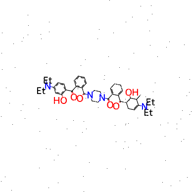 CCN(CC)C1=CCC(C(=O)C2=CCCC=C2C(=O)N2CCN(C(=O)c3ccccc3C(=O)c3ccc(N(CC)CC)cc3O)CC2)C(O)C1C